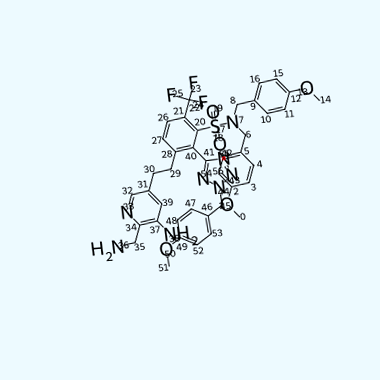 COc1ccc(CN(Cc2ccc(OC)cc2)S(=O)(=O)c2c(C(F)(F)F)ccc(CCc3cnc(CN)c(N)c3)c2-c2nnn(Cc3ccc(OC)cc3)n2)cc1